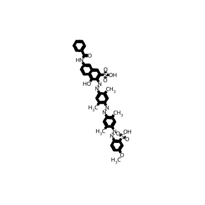 COc1ccc(N=Nc2cc(C)c(N=Nc3cc(C)c(N=Nc4c(S(=O)(=O)O)cc5cc(NC(=O)c6ccccc6)ccc5c4O)cc3C)cc2C)c(S(=O)(=O)O)c1